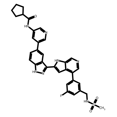 CS(=O)(=O)NCc1cc(F)cc(-c2cncc3[nH]c(-c4n[nH]c5ccc(-c6cncc(NC(=O)C7CCCC7)c6)cc45)cc23)c1